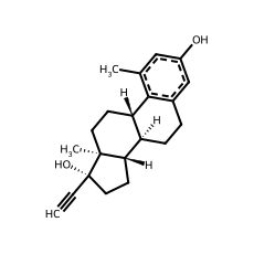 C#C[C@]1(O)CC[C@H]2[C@@H]3CCc4cc(O)cc(C)c4[C@H]3CC[C@@]21C